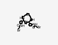 O=C(CCBr)Nc1cccc(-c2c3nc(c(-c4cccc(NC(=O)CCBr)c4)c4ccc(cc5nc(cc6ccc2[nH]6)C=C5)[nH]4)C=C3)c1